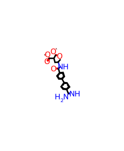 COC(=O)C(CC(C)NC(=O)c1ccc(-c2ccc(C(=N)N)cc2)cc1)C(=O)OC